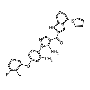 Cc1cc(Oc2cccc(F)c2F)ccc1-n1ncc(C(=O)c2cc3c([SH]4C=CC=C4)cccc3[nH]2)c1N